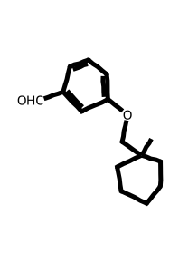 CC1(COc2cccc(C=O)c2)CCCCC1